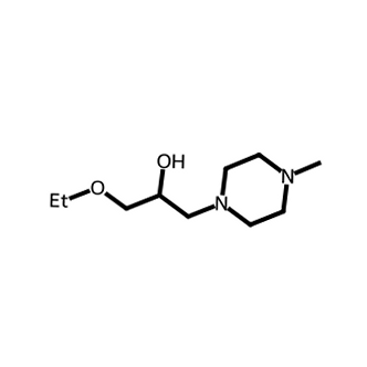 CCOCC(O)CN1CCN(C)CC1